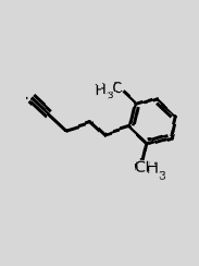 [C]#CCCCc1c(C)cccc1C